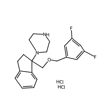 Cl.Cl.Fc1cc(F)cc(COCC2(N3CCNCC3)CCc3ccccc32)c1